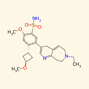 CCN1CC=C2CC(c3cc(S(N)(=O)=O)c(OC)cc3[C@H]3C[C@H](OC)C3)=CN=C2CC1